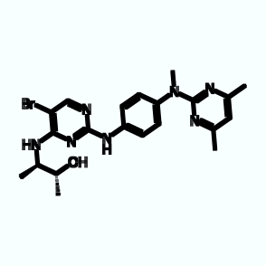 Cc1cc(C)nc(N(C)c2ccc(Nc3ncc(Br)c(N[C@H](C)[C@@H](C)O)n3)cc2)n1